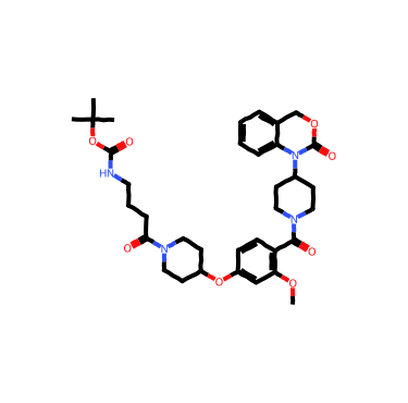 COc1cc(OC2CCN(C(=O)CCCNC(=O)OC(C)(C)C)CC2)ccc1C(=O)N1CCC(N2C(=O)OCc3ccccc32)CC1